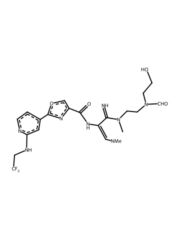 CN/C=C(/NC(=O)c1coc(-c2ccnc(NCC(F)(F)F)c2)n1)C(=N)N(C)CCN(C=O)CCO